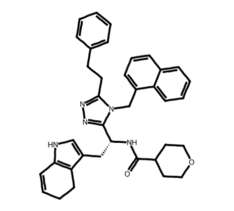 O=C(N[C@H](Cc1c[nH]c2c1CCC=C2)c1nnc(CCc2ccccc2)n1Cc1cccc2ccccc12)C1CCOCC1